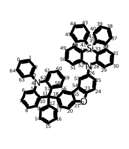 c1ccc(N2c3ccccc3C(c3ccccc3)(c3ccc4oc5ccc(N6c7ccccc7[Si](c7ccccc7)(c7ccccc7)c7ccccc76)cc5c4c3)c3ccccc32)cc1